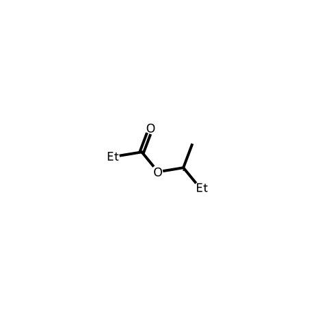 CC[C](C)OC(=O)CC